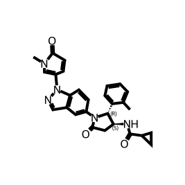 Cc1ccccc1[C@@H]1[C@@H](NC(=O)C2CC2)CC(=O)N1c1ccc2c(cnn2-c2ccc(=O)n(C)c2)c1